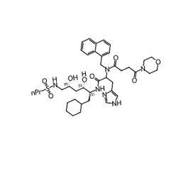 CCCS(=O)(=O)NC[C@H](O)C[C@H](O)[C@H](CC1CCCCC1)NC(=O)C(Cc1c[nH]cn1)N(Cc1cccc2ccccc12)C(=O)CCC(=O)N1CCOCC1